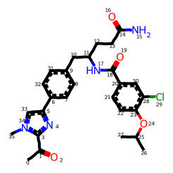 CC(=O)c1nc(-c2ccc(CC(CCC(N)=O)NC(=O)c3ccc(OC(C)C)c(Cl)c3)cc2)cn1C